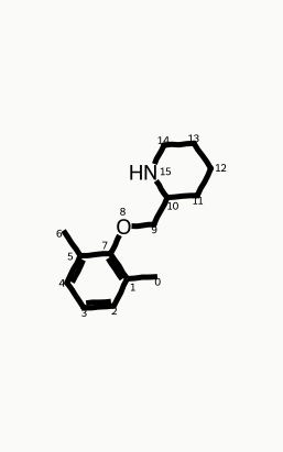 Cc1cccc(C)c1OCC1CCCCN1